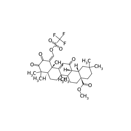 COC(=O)[C@]12CCC(C)(C)C[C@H]1[C@H]1C(=O)C=C3[C@@]4(C)/C(=C/OS(=O)(=O)C(F)(F)F)C(=O)C(=O)C(C)(C)[C@@H]4CC[C@@]3(C)[C@]1(C)CC2